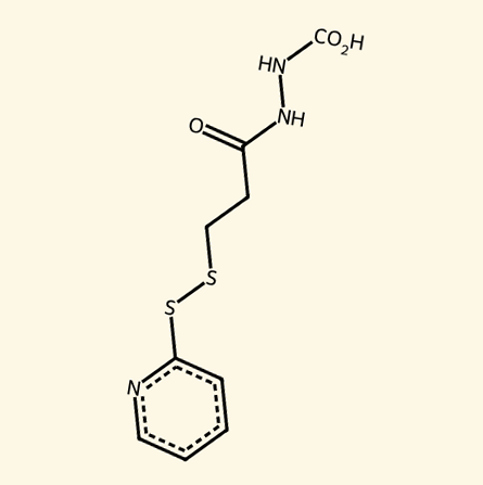 O=C(O)NNC(=O)CCSSc1ccccn1